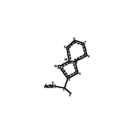 CC(=O)NC(C)c1cc2ccccc2o1